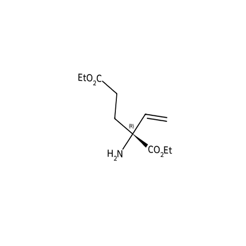 C=C[C@](N)(CCC(=O)OCC)C(=O)OCC